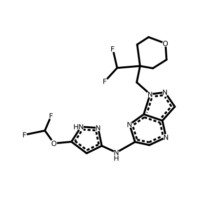 FC(F)Oc1cc(Nc2cnc3cnn(CC4(C(F)F)CCOCC4)c3n2)n[nH]1